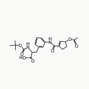 CC(=O)OC1C=C(C(=O)Nc2cccc(CC(NC(=O)OC(C)(C)C)C(=O)O)c2)CC1